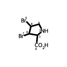 O=C(O)C1NCC(Br)C1Br